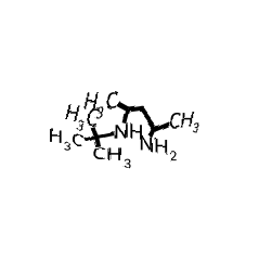 CC(N)CC(C)NC(C)(C)C